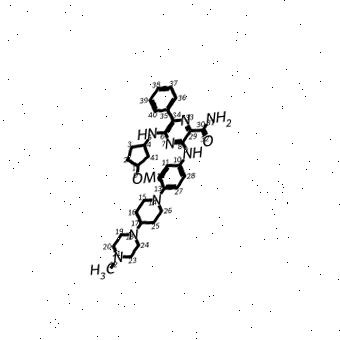 COC1CCC(Nc2nc(Nc3ccc(N4CCC(N5CCN(C)CC5)CC4)cc3)c(C(N)=O)nc2-c2ccccc2)C1